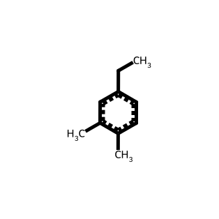 CCc1ccc(C)c(C)c1